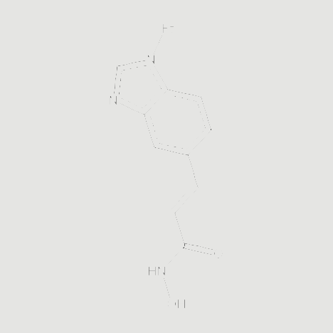 CCn1cnc2cc(C=CC(=O)NO)ccc21